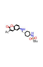 CC(=O)c1cc2cc(NC[C@H]3CC[C@H](NS(=O)(=O)C(C)(C)C)CC3)ccc2oc1=O